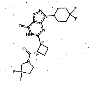 O=C([C@H]1CC[C@@H]1c1nc2c(cnn2C2CCC(F)(F)CC2)c(=O)[nH]1)N1CCC(F)(F)C1